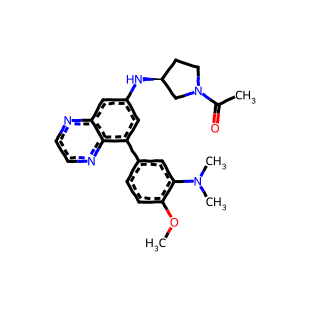 COc1ccc(-c2cc(N[C@H]3CCN(C(C)=O)C3)cc3nccnc23)cc1N(C)C